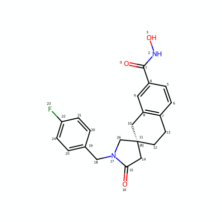 O=C(NO)c1ccc2c(c1)C[C@]1(CC2)CC(=O)N(Cc2ccc(F)cc2)C1